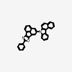 c1ccc(-c2nc3c(o2)-c2cc(-n4c5ccccc5c5c6ccccc6ccc54)cc4cccc-3c24)cc1